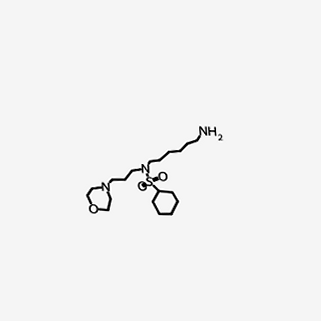 NCCCCCCN(CCCN1CCOCC1)S(=O)(=O)C1CCCCC1